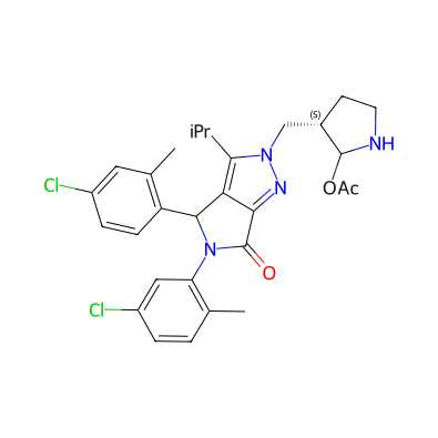 CC(=O)OC1NCC[C@H]1Cn1nc2c(c1C(C)C)C(c1ccc(Cl)cc1C)N(c1cc(Cl)ccc1C)C2=O